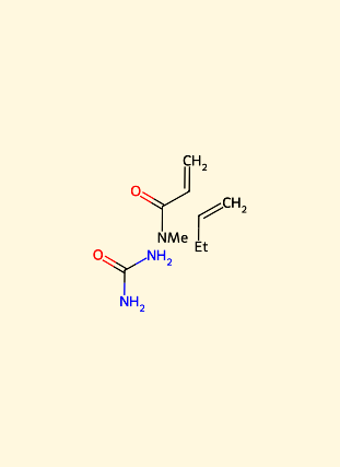 C=CC(=O)NC.C=CCC.NC(N)=O